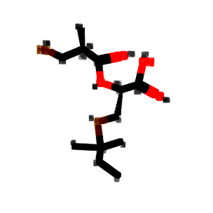 CCC(C)(C)SC[C@H](OC(=O)[C@H](C)CS)C(=O)O